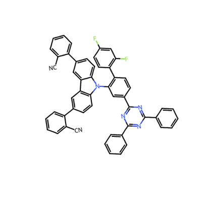 N#Cc1ccccc1-c1ccc2c(c1)c1cc(-c3ccccc3C#N)ccc1n2-c1cc(-c2nc(-c3ccccc3)nc(-c3ccccc3)n2)ccc1-c1ccc(F)cc1F